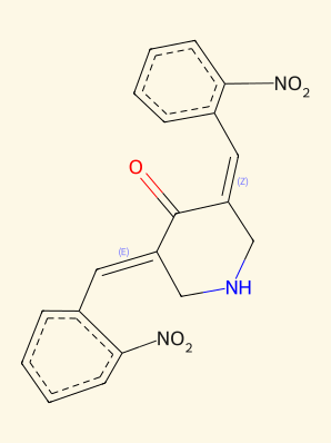 O=C1/C(=C\c2ccccc2[N+](=O)[O-])CNC/C1=C\c1ccccc1[N+](=O)[O-]